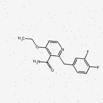 CCOc1ccnc(Cc2ccc(F)c(F)c2)c1C(N)=O